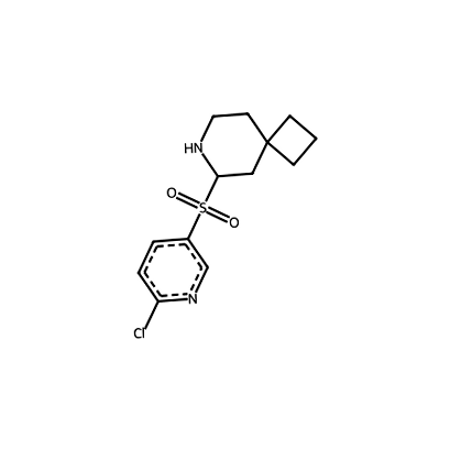 O=S(=O)(c1ccc(Cl)nc1)C1CC2(CCC2)CCN1